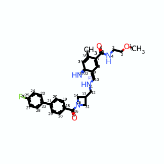 COCCNC(=O)C1=C/C(=C/NCC2CN(C(=O)c3ccc(-c4ccc(F)cc4)cc3)C2)C(=N)C=C1C